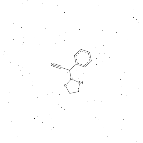 N#CC(c1ccccc1)N1BCCO1